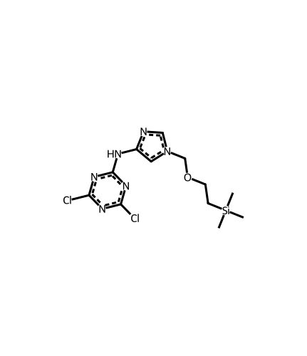 C[Si](C)(C)CCOCn1cnc(Nc2nc(Cl)nc(Cl)n2)c1